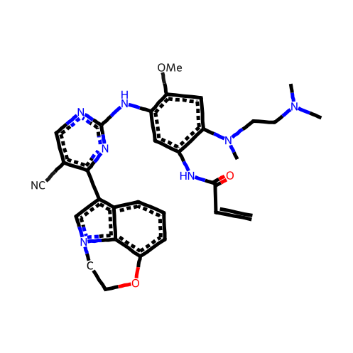 C=CC(=O)Nc1cc(Nc2ncc(C#N)c(-c3cn4c5c(cccc35)OCC4)n2)c(OC)cc1N(C)CCN(C)C